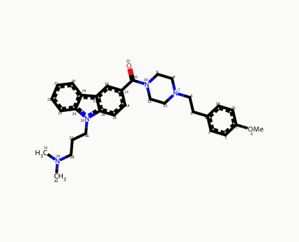 COc1ccc(CCN2CCN(C(=O)c3ccc4c(c3)c3ccccc3n4CCCN(C)C)CC2)cc1